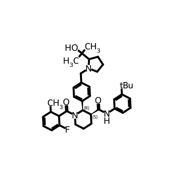 CC1C=CC=C(F)C1C(=O)N1CCC[C@H](C(=O)Nc2cccc(C(C)(C)C)c2)[C@@H]1c1ccc(CN2CCCC2C(C)(C)O)cc1